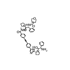 N[C@@H](C(=O)N1CCC[C@H]1c1ncc(-c2ccc(C#Cc3ccc(C(=O)NC[C@@H]4CCCN4C(=O)[C@H](NC(=O)N4CCOCC4)c4ccccc4)cc3)cc2)[nH]1)c1ccccc1